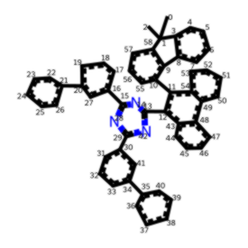 CC1(C)c2ccccc2-c2c(-c3c(-c4nc(-c5cccc(-c6ccccc6)c5)nc(-c5cccc(-c6ccccc6)c5)n4)c4ccccc4c4ccccc34)cccc21